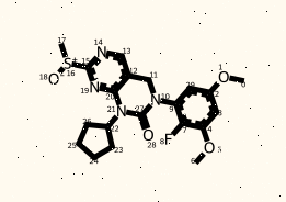 COc1cc(OC)c(F)c(N2Cc3cnc([S+](C)[O-])nc3N(C3CCCC3)C2=O)c1